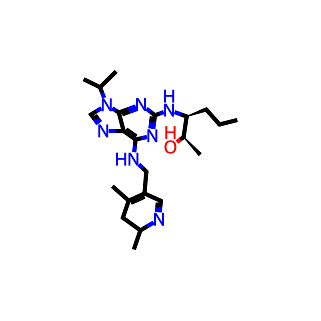 CCC[C@H](Nc1nc(NCC2=C(C)CC(C)N=C2)c2ncn(C(C)C)c2n1)[C@@H](C)O